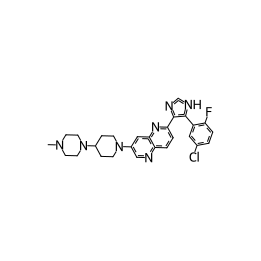 CN1CCN(C2CCN(c3cnc4ccc(-c5nc[nH]c5-c5cc(Cl)ccc5F)nc4c3)CC2)CC1